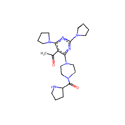 CC(=O)c1c(N2CCCC2)nc(N2CCCC2)nc1N1CCN(C(=O)C2CCCN2)CC1